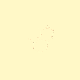 S=c1cccc2ccccn12